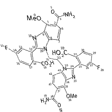 COc1c(C(N)=O)ccc2c1nc(-c1cc(F)ccc1C(=O)O)n2CCn1c(-c2cc(F)ccc2C(=O)O)nc2c(OC)c(C(N)=O)ccc21